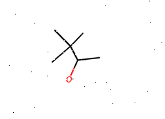 CC([O])C(C)(C)C